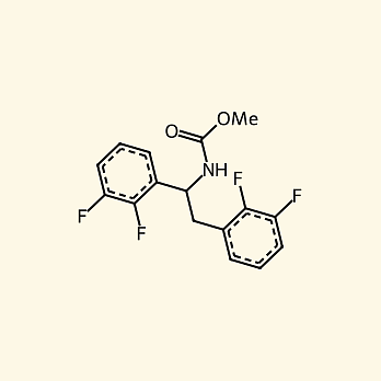 COC(=O)NC(Cc1cccc(F)c1F)c1cccc(F)c1F